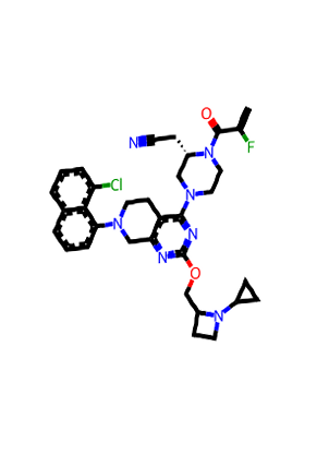 C=C(F)C(=O)N1CCN(c2nc(OCC3CCN3C3CC3)nc3c2CCN(c2cccc4cccc(Cl)c24)C3)C[C@@H]1CC#N